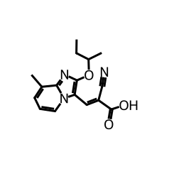 CCC(C)Oc1nc2c(C)cccn2c1C=C(C#N)C(=O)O